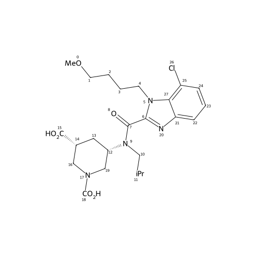 COCCCCn1c(C(=O)N(CC(C)C)[C@H]2C[C@@H](C(=O)O)CN(C(=O)O)C2)nc2cccc(Cl)c21